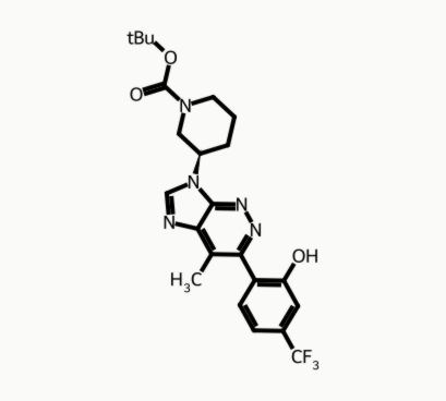 Cc1c(-c2ccc(C(F)(F)F)cc2O)nnc2c1ncn2[C@@H]1CCCN(C(=O)OC(C)(C)C)C1